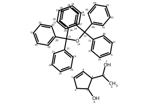 CC(O)C1C=CCC1O.c1ccc(C(OC(c2ccccc2)(c2ccccc2)c2ccccc2)(c2ccccc2)c2ccccc2)cc1